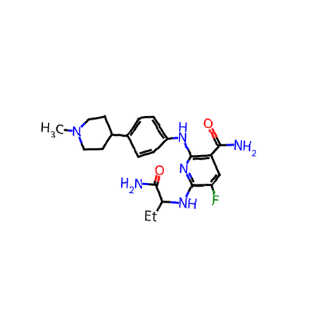 CCC(Nc1nc(Nc2ccc(C3CCN(C)CC3)cc2)c(C(N)=O)cc1F)C(N)=O